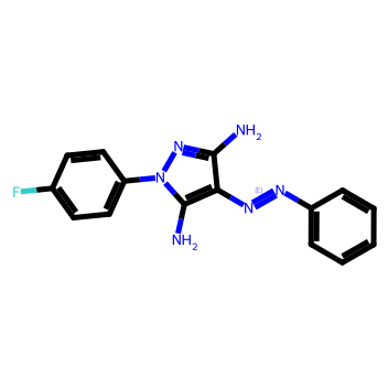 Nc1nn(-c2ccc(F)cc2)c(N)c1/N=N/c1ccccc1